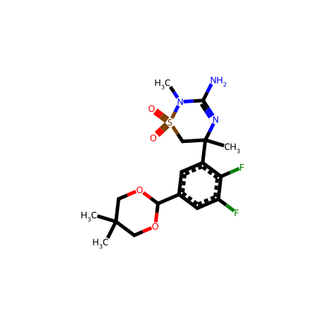 CN1C(N)=NC(C)(c2cc(C3OCC(C)(C)CO3)cc(F)c2F)CS1(=O)=O